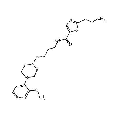 CCCc1ncc(C(=O)NCCCCN2CCN(c3ccccc3OC)CC2)s1